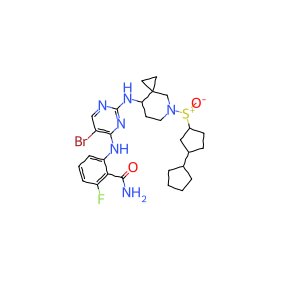 NC(=O)c1c(F)cccc1Nc1nc(NC2CCN([S+]([O-])C3CCC(C4CCCC4)C3)CC23CC3)ncc1Br